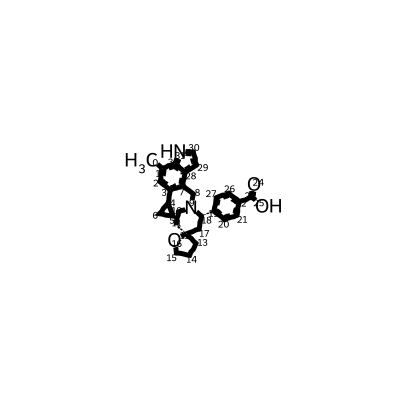 Cc1cc(C2CC2)c(CN2CC[C@@]3(CCCO3)C[C@H]2c2ccc(C(=O)O)cc2)c2cc[nH]c12